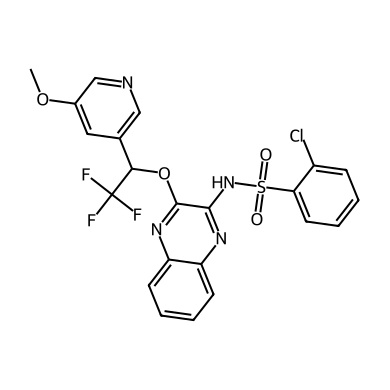 COc1cncc(C(Oc2nc3ccccc3nc2NS(=O)(=O)c2ccccc2Cl)C(F)(F)F)c1